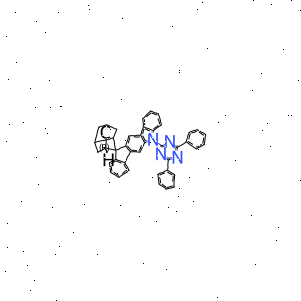 c1ccc(-c2nc(-c3ccccc3)nc(-n3c4ccccc4c4cc5c(cc43)-c3ccccc3C53C4CC5CC6C[C@@H]3C64C5)n2)cc1